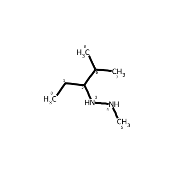 CCC(NNC)C(C)C